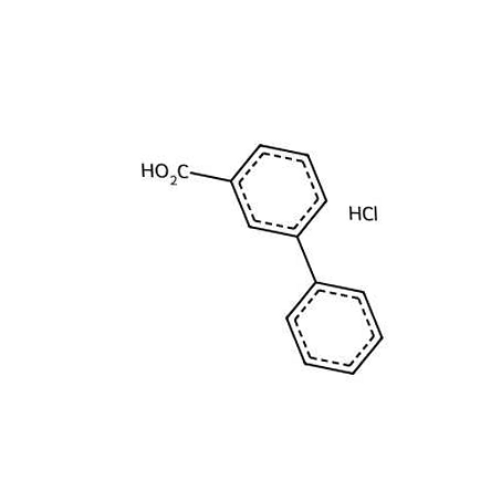 Cl.O=C(O)c1cccc(-c2ccccc2)c1